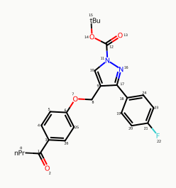 CCCC(=O)c1ccc(OCc2cn(C(=O)OC(C)(C)C)nc2-c2ccc(F)cc2)cc1